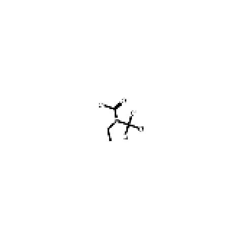 CCN(C(=O)Cl)C(Cl)(Cl)Cl